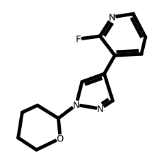 Fc1ncccc1-c1cnn(C2CCCCO2)c1